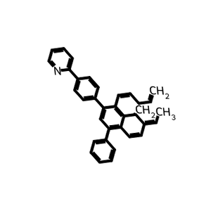 C=CC/C=C\c1c(-c2ccc(-c3ccccn3)cc2)cc(-c2ccccc2)c2cc/c(=C/C)c(=C)c12